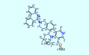 Cc1nc(C)c([C@H](OC(C)(C)C)C(=O)O)c(N2CCC(C)(C)CC2)c1-c1ccc2c(c1)CCN(c1nc3ccccc3c3ccccc13)C2